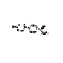 COC(=O)c1ccc(C2=CCC(=O)CC2)cc1